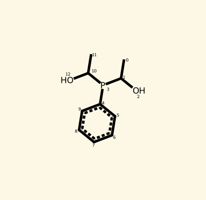 CC(O)P(c1ccccc1)C(C)O